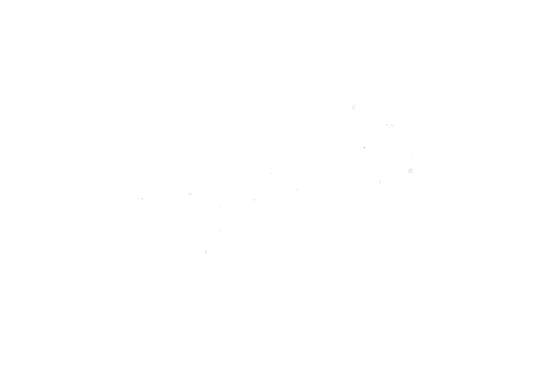 CO[Si](CCCCCCc1cc(C(F)(F)F)cc(C(F)(F)F)c1)(OC(C)C)OC(C)C